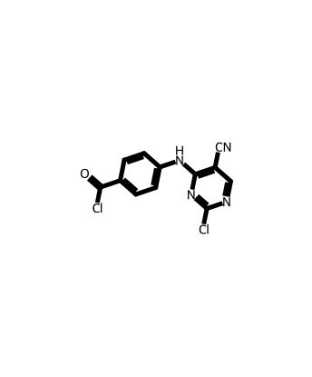 N#Cc1cnc(Cl)nc1Nc1ccc(C(=O)Cl)cc1